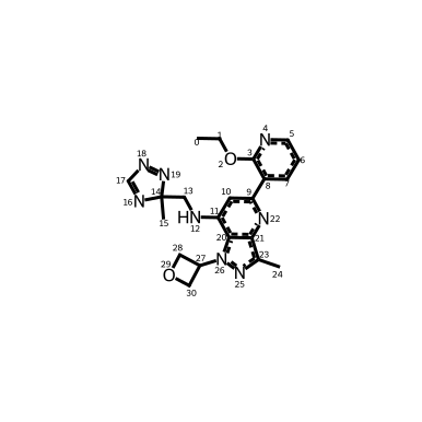 CCOc1ncccc1-c1cc(NCC2(C)N=CN=N2)c2c(n1)c(C)nn2C1COC1